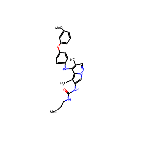 COCCNC(=O)Nc1cn2ncc(C#N)c(Nc3ccc(Oc4cccc(OC)c4)cc3)c2c1C